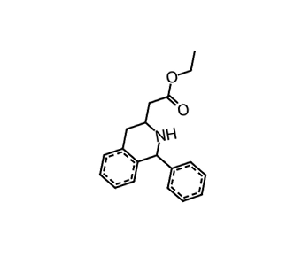 CCOC(=O)CC1Cc2ccccc2C(c2ccccc2)N1